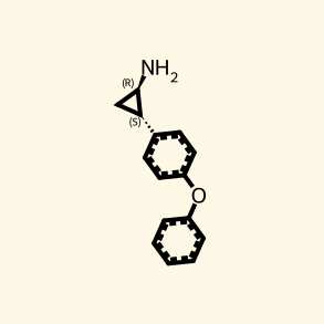 N[C@@H]1C[C@H]1c1ccc(Oc2ccccc2)cc1